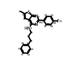 Cc1cc2c(NCCCc3ccccc3)nc(-c3ccc(F)cc3)nc2s1